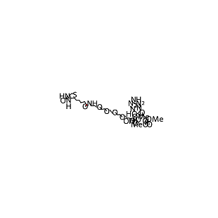 COP(=O)(OC)OCC1OC(n2cnc3c(N)ncnc32)C(O)C1OP(=O)(OC)OCC(O)COCCOCCOCCOCCCNC(=O)CCCCC1SCC2NC(=O)NC21